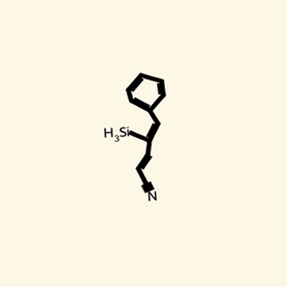 N#CC=CC([SiH3])=Cc1ccccc1